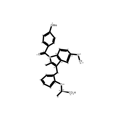 COc1ccc(C(=O)n2c(C)c(Cc3ccccc3O[C@H](C)C(=O)O)c3cc(OC(F)(F)F)ccc32)cc1